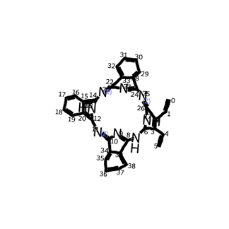 C=CC1=C(C=C)C2NC3=N/C(=N\c4[nH]c(c5ccccc45)/N=C4N=C(/N=C/1N2)c1ccccc1\4)c1ccccc13